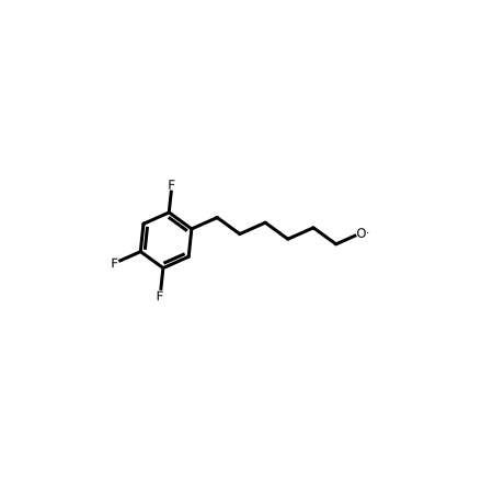 [O]CCCCCCc1cc(F)c(F)cc1F